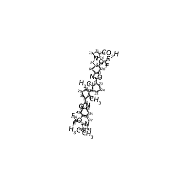 Cc1c(-c2nc3cc(CN4CCC(C(=O)O)C4)c(OC(F)F)cc3o2)cccc1-c1cccc(-c2nc3cc(CN4CC(C)(C)C4)c(OC(F)F)cc3o2)c1C